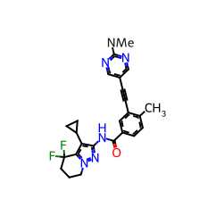 CNc1ncc(C#Cc2cc(C(=O)Nc3nn4c(c3C3CC3)C(F)(F)CCC4)ccc2C)cn1